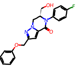 O=C1c2cc(COc3ccccc3)nn2C[C@H](CO)N1c1ccc(F)cc1